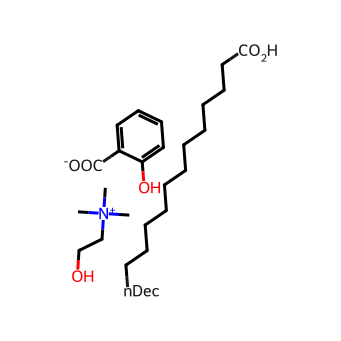 CCCCCCCCCCCCCCCCCCCCCC(=O)O.C[N+](C)(C)CCO.O=C([O-])c1ccccc1O